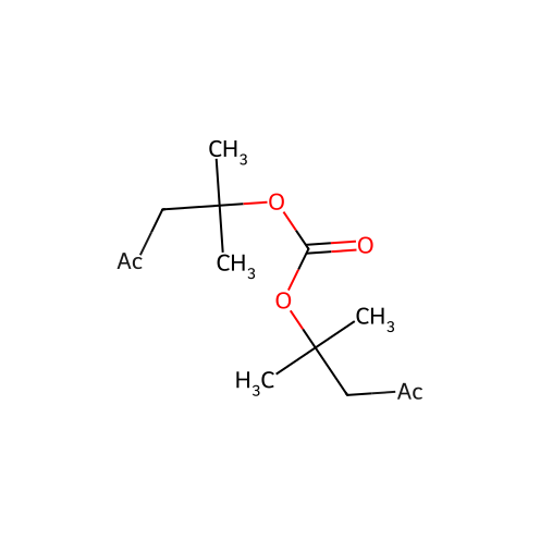 CC(=O)CC(C)(C)OC(=O)OC(C)(C)CC(C)=O